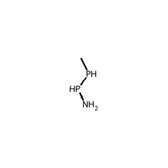 CPPN